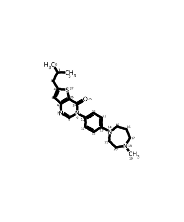 CC(C)Cc1cc2ncn(-c3ccc(N4CCCN(C)CC4)cc3)c(=O)c2s1